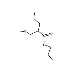 CCCOC(=O)C(CCC)COC